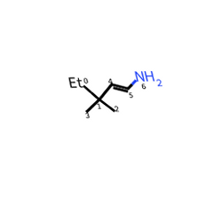 CCC(C)(C)C=CN